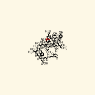 CC[C@H](C)[C@H](NC(=O)[C@H](CO)NC(=O)[C@H](Cc1ccc(O)cc1)NC(=O)[C@H](CC(=O)O)NC(=O)[C@H](CO)NC(=O)[C@@H](NC(=O)[C@H](Cc1ccccc1)NC(=O)[C@@H](NC(=O)CNC(=O)[C@H](CCC(=O)O)NC(=O)CC(=O)NCCCN1C(=O)CSC1=O)[C@@H](C)O)[C@@H](C)O)C(=O)N[C@@H](Cc1ccc(O)cc1)C(=O)N[C@@H](CC(C)C)C(=O)N[C@@H](CC(=O)O)C(=O)N[C@H](C)CCCCN